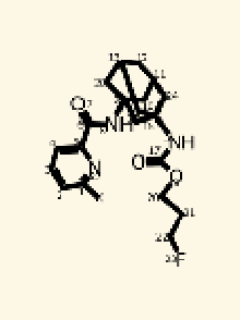 Cc1cccc(C(=O)NC23CC4CC(CC(NC(=O)OCCCF)(C4)C2)C3)n1